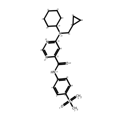 C=S(C)(=O)c1ccc(NC(=O)c2cc(N(CC3CC3)C3CCCCC3)ncn2)cc1